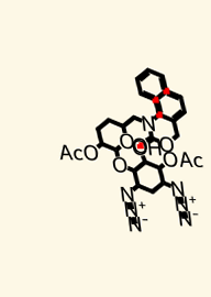 CC(=O)OC1CCC(CN(Cc2ccccc2)C(=O)OCc2ccccc2)OC1OC1C(N=[N+]=[N-])CC(N=[N+]=[N-])C(OC(C)=O)C1O